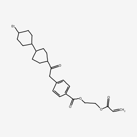 C=CC(=O)OCCOC(=O)c1ccc(CC(=O)C2CCC(C3CCC(CC)CC3)CC2)cc1